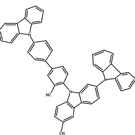 N#Cc1ccc2c(c1)c1ccc(-n3c4ccccc4c4ccccc43)cc1n2-c1ccc(-c2ccc(-n3c4ccccc4c4ccccc43)cc2)cc1C#N